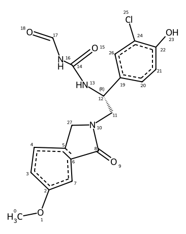 COc1ccc2c(c1)C(=O)N(C[C@H](NC(=O)NC=O)c1ccc(O)c(Cl)c1)C2